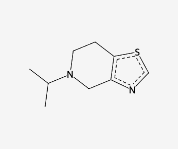 CC(C)N1CCc2scnc2C1